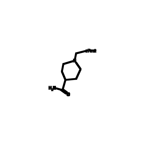 CCCCCCN1CCC(C(N)=O)CC1